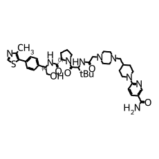 Cc1ncsc1-c1ccc([C@H](CO)NC(=O)[C@@H]2CCCN2C(=O)C(NC(=O)CN2CCN(CC3CCN(c4ccc(C(N)=O)cn4)CC3)CC2)C(C)(C)C)cc1